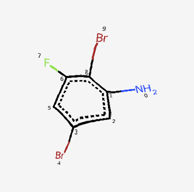 Nc1cc(Br)cc(F)c1Br